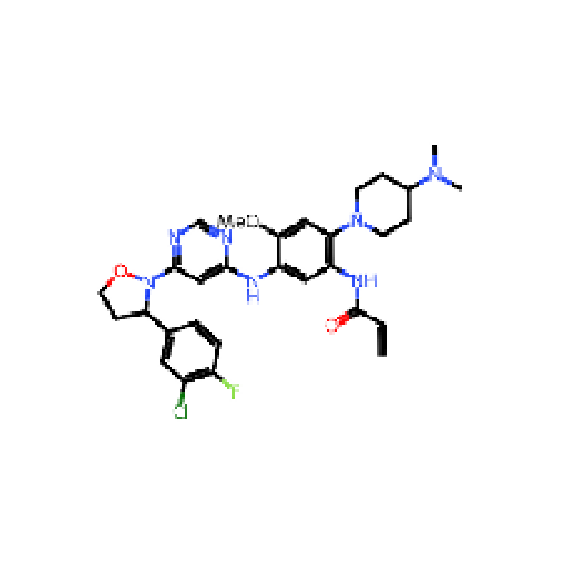 C=CC(=O)Nc1cc(Nc2cc(N3OCCC3c3ccc(F)c(Cl)c3)ncn2)c(OC)cc1N1CCC(N(C)C)CC1